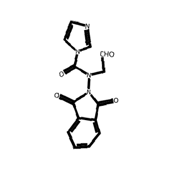 O=CCN(C(=O)n1ccnc1)N1C(=O)c2ccccc2C1=O